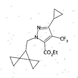 CCOC(=O)c1c(C(F)(F)F)c(C2CC2)nn1CC1C2(CC2)C12CC2